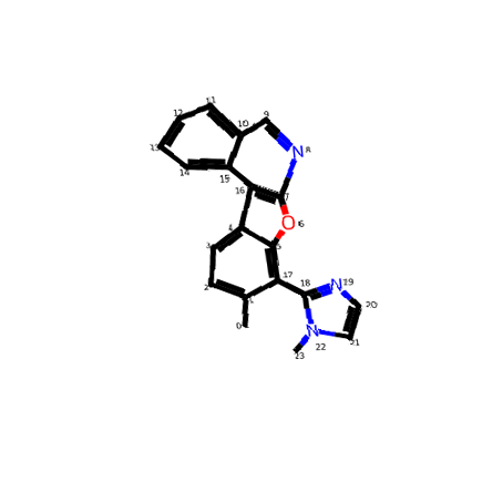 Cc1ccc2c(oc3ncc4ccccc4c32)c1-c1nccn1C